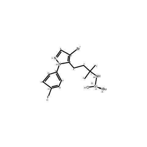 CC(C)(CCc1c(Br)cnn1-c1ccc(F)cc1)N[S@+]([O-])C(C)(C)C